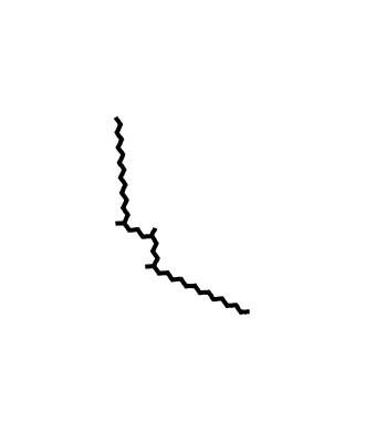 CCCCCCCCCCCCCCC(C)CCCC(C)CCCC(C)CCCCCCCCCCCCCC